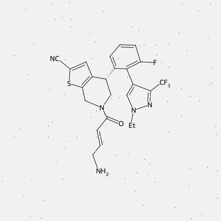 CCn1cc(-c2c(F)cccc2[C@@H]2CN(C(=O)/C=C/CN)Cc3sc(C#N)cc32)c(C(F)(F)F)n1